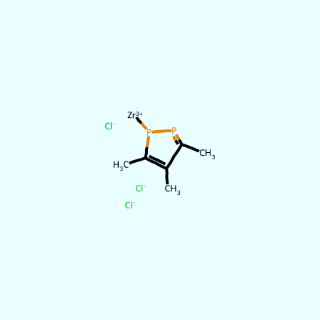 Cc1p[p]([Zr+3])c(C)c1C.[Cl-].[Cl-].[Cl-]